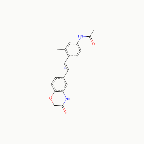 CC(=O)Nc1ccc(/C=C/c2ccc3c(c2)NC(=O)CO3)c(C)c1